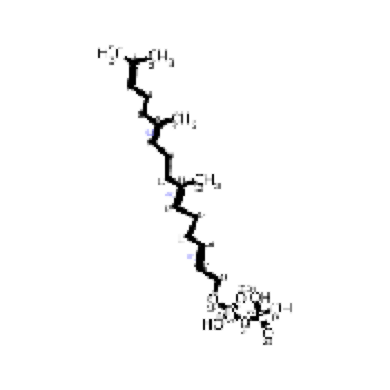 CC(C)=CCC/C(C)=C/CC/C(C)=C/CC/C=C/COP(=O)(O)OP(=O)(O)O